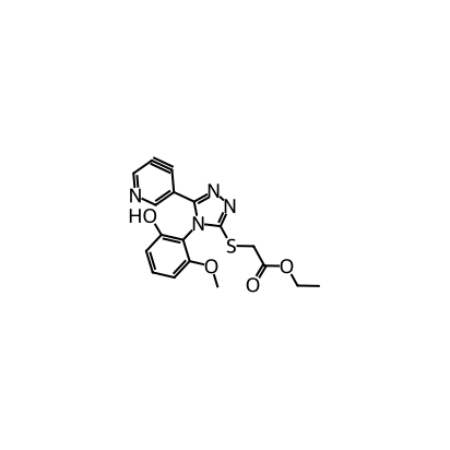 CCOC(=O)CSc1nnc(-c2c#ccnc2)n1-c1c(O)cccc1OC